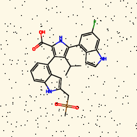 CC(C)c1c(-c2cc(F)cc3[nH]ccc23)[nH]c(C(=O)O)c1-c1cccc2[nH]c(CS(C)(=O)=O)cc12